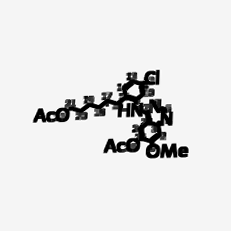 COc1cc2ncnc(Nc3cc(Cl)ccc3C[CH]CCCCOC(C)=O)c2cc1OC(C)=O